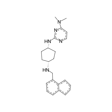 CN(C)c1ccnc(N[C@H]2CC[C@@H](NCc3cccc4ccccc34)CC2)n1